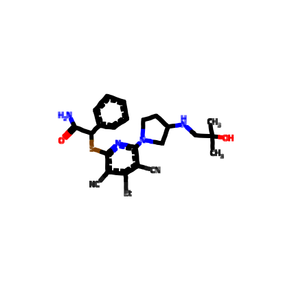 CCc1c(C#N)c(SC(C(N)=O)c2ccccc2)nc(N2CCC(NCC(C)(C)O)C2)c1C#N